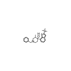 CC1CN(Cc2ccccc2)CCC1(O)c1cccc2cc([Si](C)(C)C)sc12